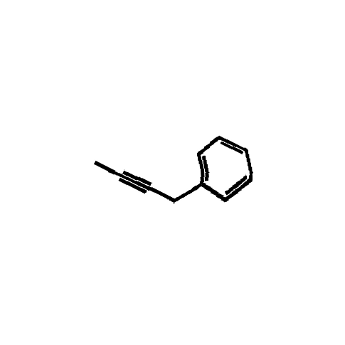 CC#C[CH]c1ccccc1